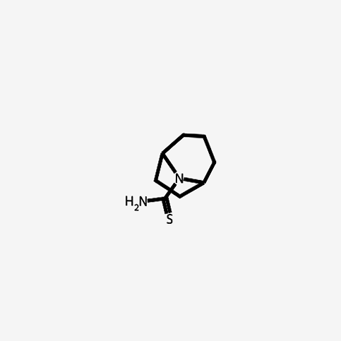 NC(=S)N1C2CCCC1CC2